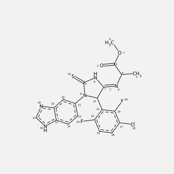 COC(=O)C(C)/N=C1\NC(=S)N(c2ccc3[nH]cnc3c2)C1c1c(F)ccc(Cl)c1F